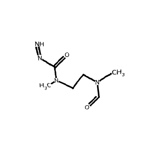 CN(C=O)CCN(C)C(=O)N=N